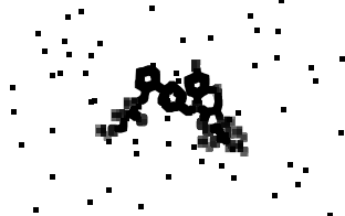 CCNC(=O)NCc1ccccc1-c1ccc(CN2C(=O)[C@H](NC(=O)C(C)(C)N)CSc3cc(F)ccc32)cc1